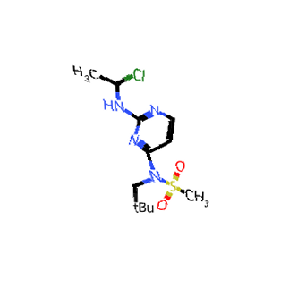 CC(Cl)Nc1nccc(N(CC(C)(C)C)S(C)(=O)=O)n1